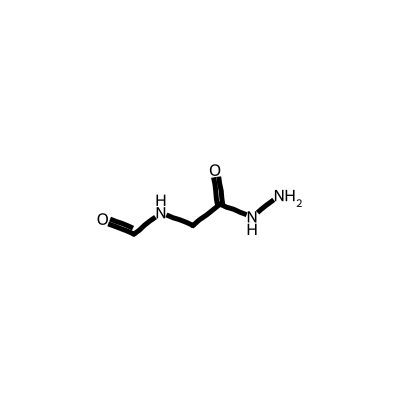 NNC(=O)CNC=O